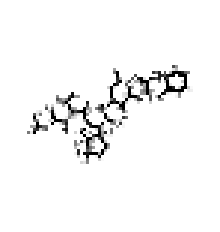 CCCC(NC(=O)[C@@H]1[C@H]2CCC(F)(F)[C@H]2CN1C(=O)[C@@H](NC(=O)OC(C)C)C(C)C)C(=O)C(=O)N[C@H](Cc1ccccc1)C(=O)O